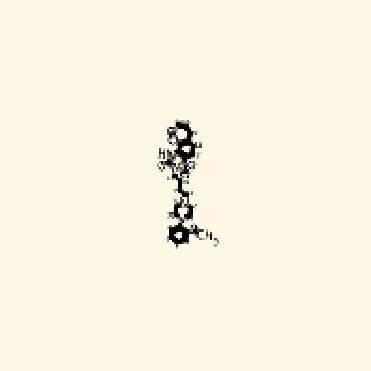 COc1ccccc1N1CCN(CCCCN2C(=O)Nc3c(ccc4c3OOCCC4)S2(=O)=O)CC1